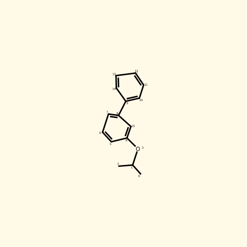 CC(C)Oc1cccc(-c2cc[c]cc2)c1